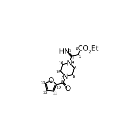 CCOC(=O)CC(=N)N1CCN(C(=O)c2ccco2)CC1